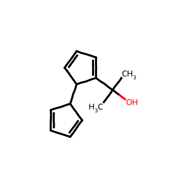 CC(C)(O)C1=CC=CC1C1C=CC=C1